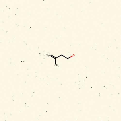 C=C(C)CC[O]